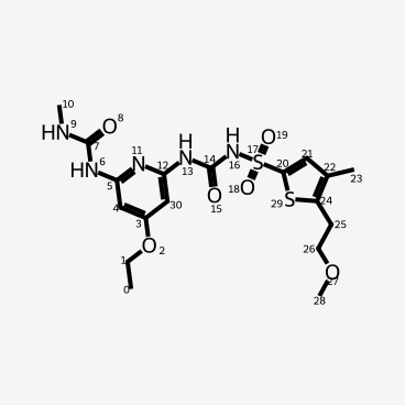 CCOc1cc(NC(=O)NC)nc(NC(=O)NS(=O)(=O)c2cc(C)c(CCOC)s2)c1